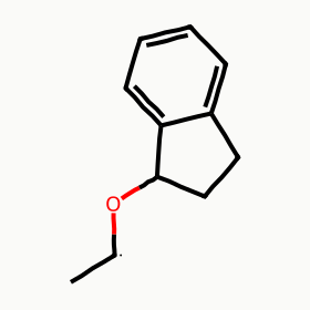 C[CH]OC1CCc2ccccc21